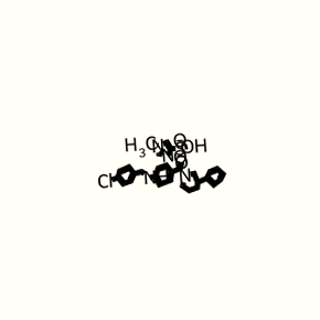 Cn1cnc(S(=O)(=O)O)c1.O=C(c1ccc(NCc2ccc(Cl)cc2)cc1)N1CCCC(c2ccccc2)C1